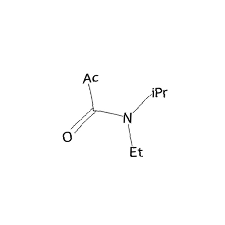 CCN(C(=O)C(C)=O)C(C)C